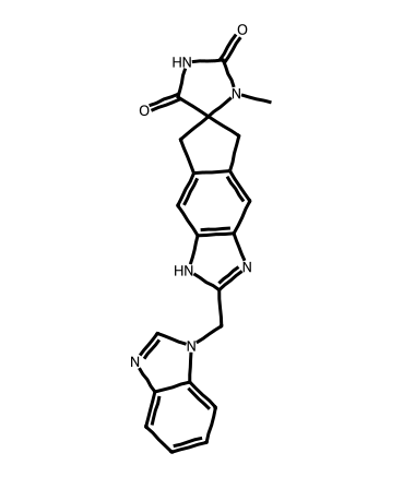 CN1C(=O)NC(=O)C12Cc1cc3nc(Cn4cnc5ccccc54)[nH]c3cc1C2